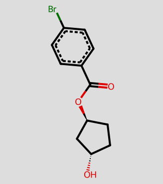 O=C(O[C@H]1CC[C@H](O)C1)c1ccc(Br)cc1